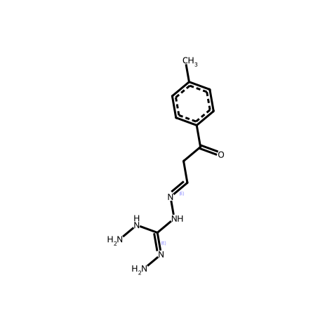 Cc1ccc(C(=O)C/C=N/N/C(=N/N)NN)cc1